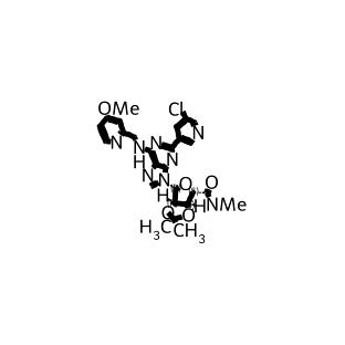 CNC(=O)[C@H]1O[C@@H](n2cnc3c(NCc4cc(OC)ccn4)nc(-c4cncc(Cl)c4)nc32)[C@@H]2OC(C)(C)O[C@@H]21